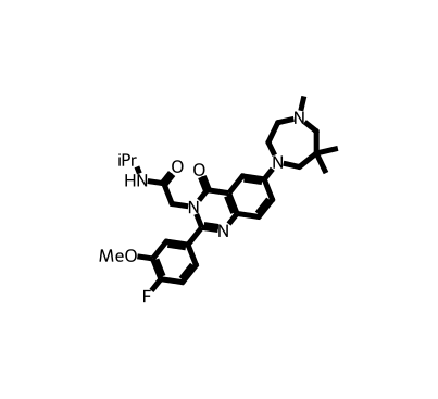 COc1cc(-c2nc3ccc(N4CCN(C)CC(C)(C)C4)cc3c(=O)n2CC(=O)NC(C)C)ccc1F